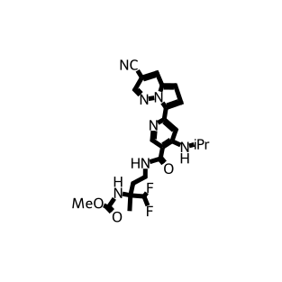 COC(=O)NC(C)(CCNC(=O)c1cnc(-c2ccc3cc(C#N)cnn23)cc1NC(C)C)C(F)F